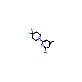 Cc1cc(Br)nc(N2CCC(F)(F)CC2)c1